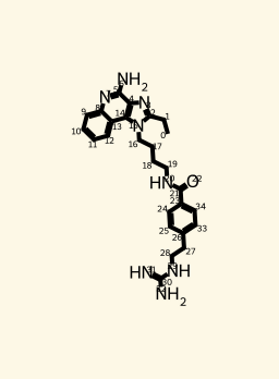 CCc1nc2c(N)nc3ccccc3c2n1CCCCNC(=O)c1ccc(CCNC(=N)N)cc1